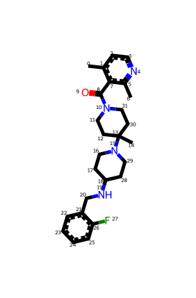 Cc1ccnc(C)c1C(=O)N1CCC(C)(N2CCC(NCc3ccccc3F)CC2)CC1